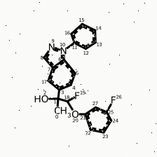 CC(O)(c1ccc2c(cnn2-c2ccccc2)c1)C(F)Oc1cccc(F)c1